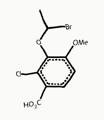 COc1ccc(C(=O)O)c(Cl)c1OC(C)Br